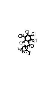 CCc1nc(C)cn1C(=O)c1c(Cl)c(Cl)c(Cl)c(Cl)c1Cl